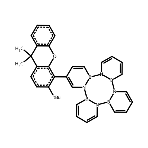 CC(C)(C)c1ccc2c(c1C1=CN3B4C=CC=CN4B4C=CC=CN4B4C=CC=CN4B3C=C1)Oc1ccccc1C2(C)C